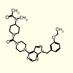 CCOc1cccc(Cn2ncc3c(N4CCN(C(=O)N5CCC(N(C)C(C)=O)CC5)CC4)ncnc32)c1